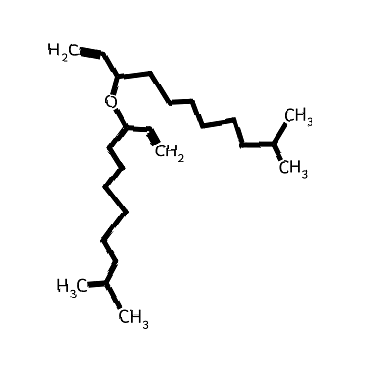 C=CC(CCCCCCC(C)C)OC(C=C)CCCCCCC(C)C